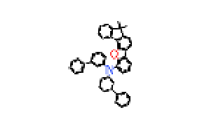 CC1(C)c2ccccc2-c2c1ccc1c2oc2c(N(c3cccc(-c4ccccc4)c3)c3cccc(-c4ccccc4)c3)cccc21